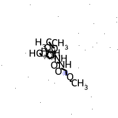 CCO/C=C/C(=O)NC(=O)N[C@@H]1C[C@H](CO)[C@H]2OC(C)(C)O[C@H]21